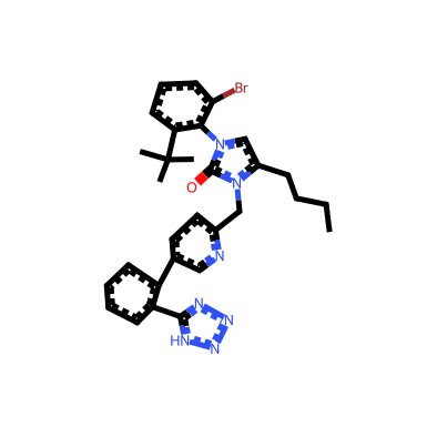 CCCCc1cn(-c2c(Br)cccc2C(C)(C)C)c(=O)n1Cc1ccc(-c2ccccc2-c2nnn[nH]2)cn1